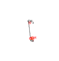 C=CC(=O)CCCCCCCCCCCCCCCCCCCCOc1ccc2ccccc2c1S(=O)(=O)O